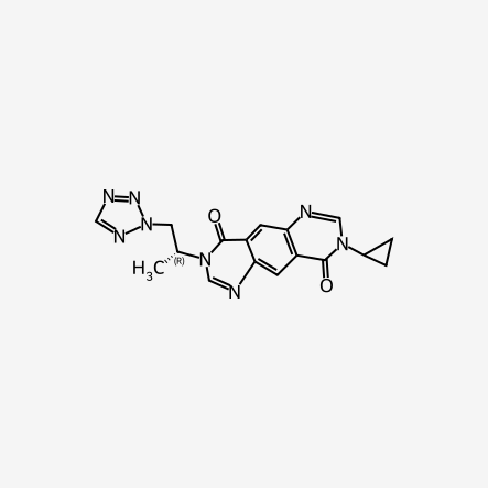 C[C@H](Cn1ncnn1)n1cnc2cc3c(=O)n(C4CC4)cnc3cc2c1=O